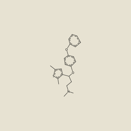 Cc1cc(C(CCN(C)C)Oc2ccc(Oc3ccccc3)cc2)c(C)s1